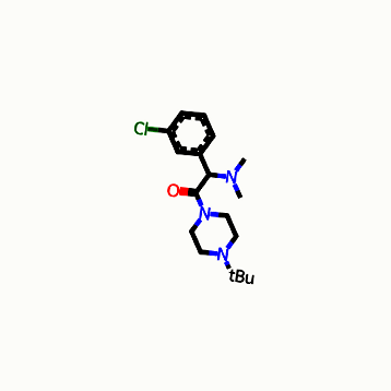 CN(C)C(C(=O)N1CCN(C(C)(C)C)CC1)c1cccc(Cl)c1